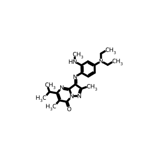 CCN(CC)c1ccc(N=C2C(C)=Nn3c2nc(C(C)C)c(C)c3=O)c(NC)c1